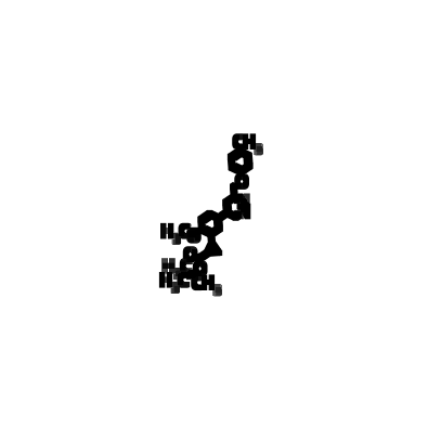 COc1ccc(-c2cnnc(COc3ccc(C)cc3)c2)cc1C1CC1C(=O)OC(C)(C)C